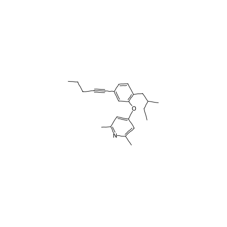 CCCC#Cc1ccc(CC(C)CC)c(Oc2cc(C)nc(C)c2)c1